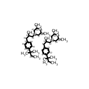 CCC(C)(C)c1ccc(CC(C)CN2C[C@@H](C)O[C@@H](C)C2)cc1.CCC(C)(C)c1ccc(CC(C)CN2C[C@@H](C)O[C@@H](C)C2)cc1